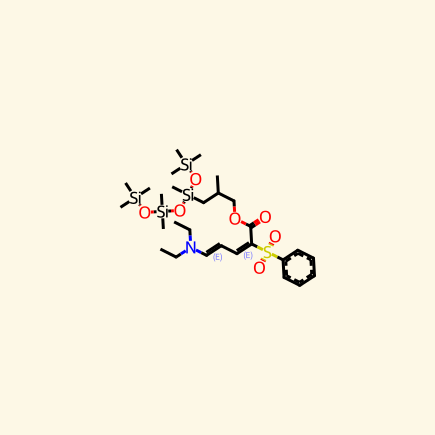 CCN(/C=C/C=C(\C(=O)OCC(C)C[Si](C)(O[Si](C)(C)C)O[Si](C)(C)O[Si](C)(C)C)S(=O)(=O)c1ccccc1)CC